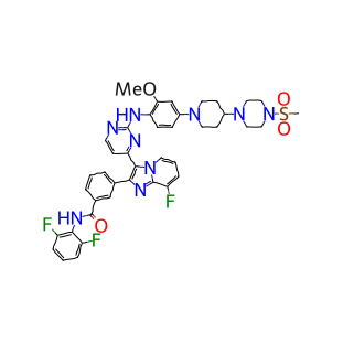 COc1cc(N2CCC(N3CCN(S(C)(=O)=O)CC3)CC2)ccc1Nc1nccc(-c2c(-c3cccc(C(=O)Nc4c(F)cccc4F)c3)nc3c(F)cccn23)n1